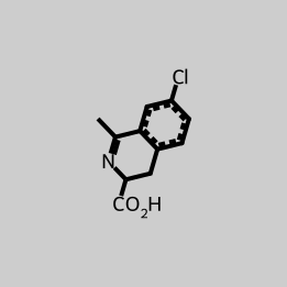 CC1=NC(C(=O)O)Cc2ccc(Cl)cc21